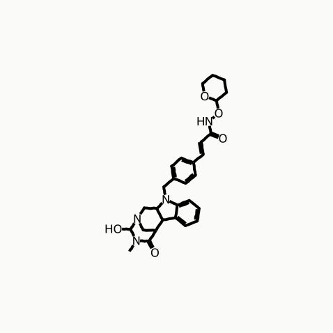 CN1C(=O)C2CN(CC3C2c2ccccc2N3Cc2ccc(/C=C/C(=O)NOC3CCCCO3)cc2)C1O